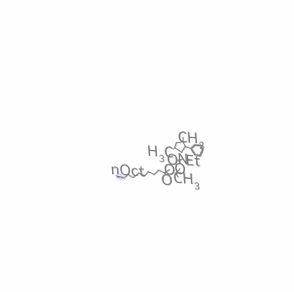 CCCCCCCC/C=C\CCCCCCCC(=O)OC(C)OC(=O)N(CC)C1C(C)CC(C)C1c1ccccc1